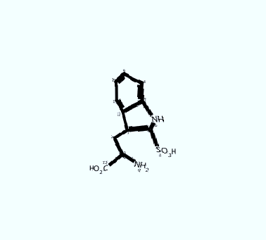 NC(Cc1c(S(=O)(=O)O)[nH]c2ccccc12)C(=O)O